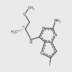 COC[C@@H](C)Nc1nc(N)nc2cc(I)sc12